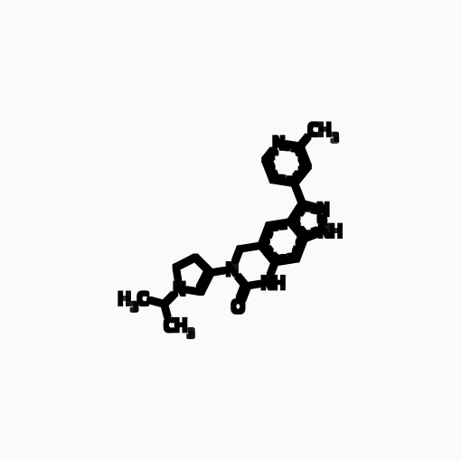 Cc1cc(-c2n[nH]c3cc4c(cc23)CN(C2=CN(C(C)C)CC2)C(=O)N4)ccn1